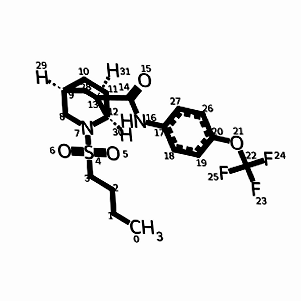 CCCCS(=O)(=O)N1C[C@H]2CC[C@@H]1[C@H](C(=O)Nc1ccc(OC(F)(F)F)cc1)C2